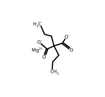 CCCC(CCC)(C(=O)[O-])C(=O)[O-].[Mg+2]